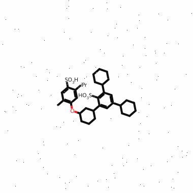 Cc1cc(S(=O)(=O)O)c(C(C)C)cc1OC1CCCC(c2cc(C3CCCCC3)cc(C3CCCCC3)c2S(=O)(=O)O)C1